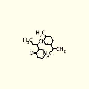 CC1CCC(C(C)C)CC1.CCC(C)C1CCCCC1=O